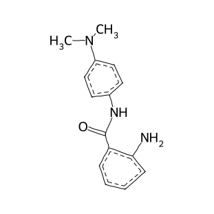 CN(C)c1ccc(NC(=O)c2ccccc2N)cc1